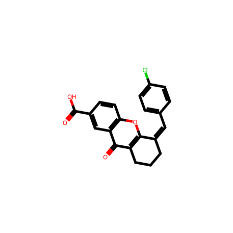 O=C(O)c1ccc2oc3c(c(=O)c2c1)CCC/C3=C/c1ccc(Cl)cc1